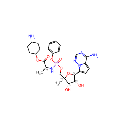 C[C@H](NP(=O)(OC[C@@]1(C)O[C@@H](c2ccc3c(N)ncnn23)[C@H](O)[C@@H]1O)Oc1ccccc1)C(=O)O[C@H]1CC[C@H](N)CC1